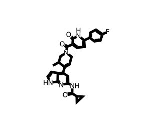 CC1CN(C(=O)c2ccc(-c3ccc(F)cc3)[nH]c2=O)CC=C1c1cc(NC(=O)C2CC2)nc2[nH]ccc12